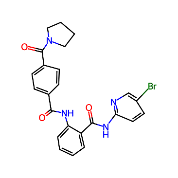 O=C(Nc1ccccc1C(=O)Nc1ccc(Br)cn1)c1ccc(C(=O)N2CCCC2)cc1